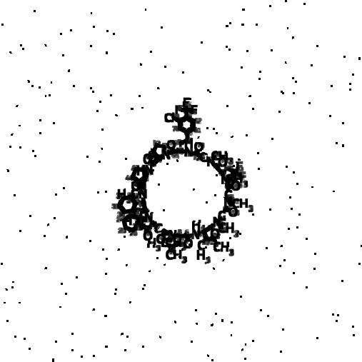 CC[C@H](C)[C@@H]1NC(=O)[C@H](CC(C)C)N(C)C(=O)C[C@@H](C(=O)N2CCCCC2)N(C)C(=O)[C@H](C2CCCCC2)N(C)C(=O)C2(CCCC2)NC(=O)[C@@H]2CCCN2C(=O)[C@H](CCc2ccc(C(F)(F)F)c(Cl)c2)NC(=O)CN(C)C(=O)[C@H](CC(F)(F)F)N(C)C(=O)CN(C)C(=O)CN(C)C1=O